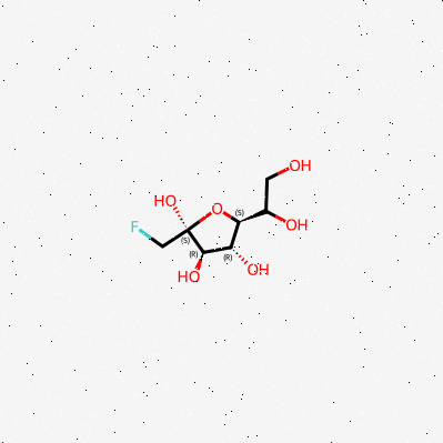 OCC(O)[C@@H]1O[C@](O)(CF)[C@H](O)[C@H]1O